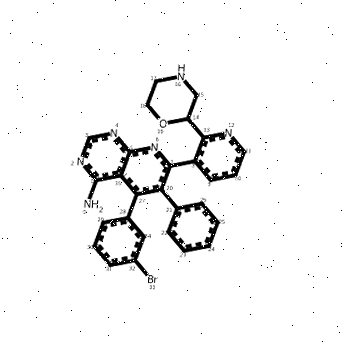 Nc1ncnc2nc(-c3cccnc3C3CNCCO3)c(-c3ccccc3)c(-c3cccc(Br)c3)c12